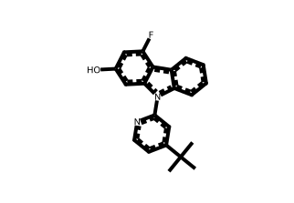 CC(C)(C)c1ccnc(-n2c3ccccc3c3c(F)cc(O)cc32)c1